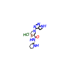 Cl.O=C(NC[C@H]1CCCCN1)C1=CN(c2ncnc3[nH]ccc23)CCS1